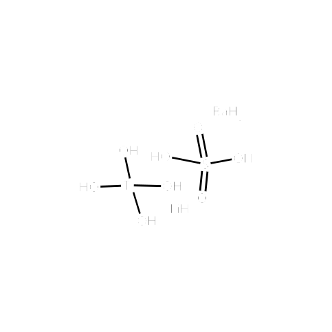 O=S(=O)(O)O.[BaH2].[LiH].[OH][Ti]([OH])([OH])[OH]